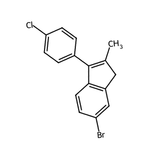 CC1=C(c2ccc(Cl)cc2)c2ccc(Br)cc2C1